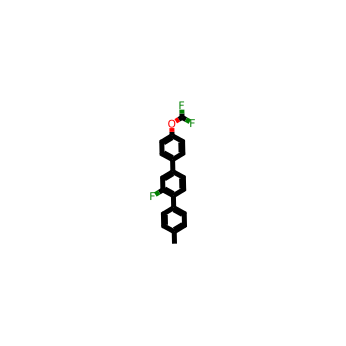 Cc1ccc(-c2ccc(-c3ccc(OC(F)F)cc3)cc2F)cc1